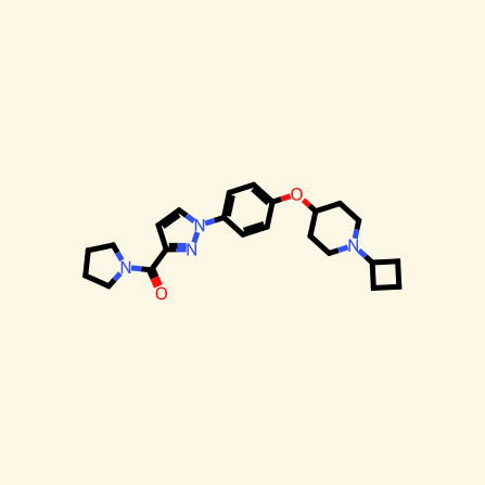 O=C(c1ccn(-c2ccc(OC3CCN(C4CCC4)CC3)cc2)n1)N1CCCC1